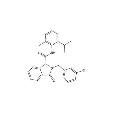 Cc1cccc(C(C)C)c1NC(=O)C1c2ccccc2C(=O)N1Cc1cccc(Cl)c1